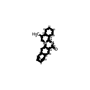 Cc1cn2c3cc4c5ccc(o5)c4cc3c(=O)nc2c2ccccc12